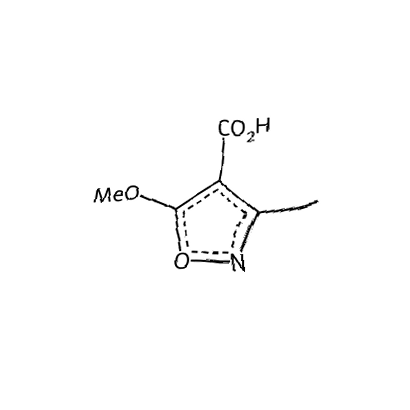 COc1onc(C)c1C(=O)O